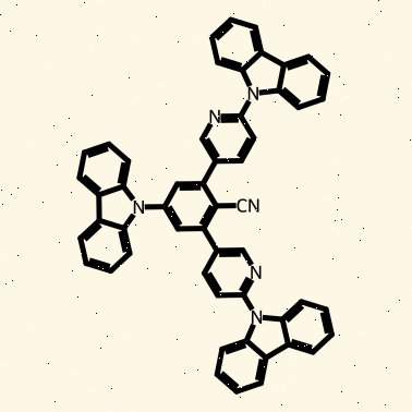 N#Cc1c(-c2ccc(-n3c4ccccc4c4ccccc43)nc2)cc(-n2c3ccccc3c3ccccc32)cc1-c1ccc(-n2c3ccccc3c3ccccc32)nc1